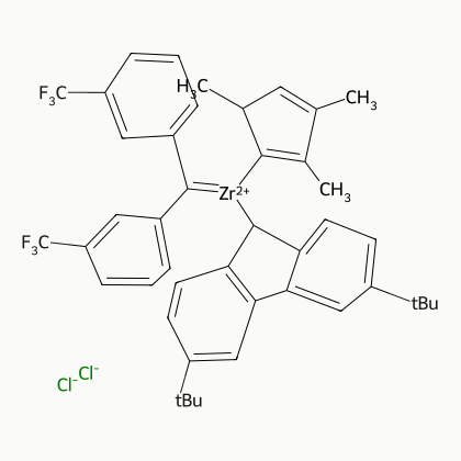 CC1=CC(C)[C]([Zr+2](=[C](c2cccc(C(F)(F)F)c2)c2cccc(C(F)(F)F)c2)[CH]2c3ccc(C(C)(C)C)cc3-c3cc(C(C)(C)C)ccc32)=C1C.[Cl-].[Cl-]